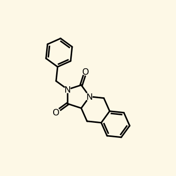 O=C1C2Cc3ccccc3CN2C(=O)N1Cc1ccccc1